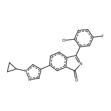 O=C1N=C(c2cc(F)ccc2Cl)c2ccc(-c3cnn(C4CC4)c3)cc21